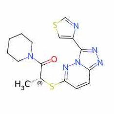 C[C@@H](Sc1ccc2nnc(-c3cscn3)n2n1)C(=O)N1CCCCC1